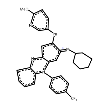 COc1ccc(Nc2cc3nc4ccccc4n(-c4ccc(C(F)(F)F)cc4)c-3c/c2=N\C2CCCCC2)cn1